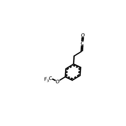 O=C=CCc1cccc(OC(F)(F)F)c1